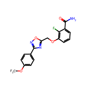 NC(=O)c1cccc(OCc2nc(-c3ccc(OC(F)(F)F)cc3)no2)c1F